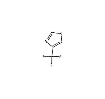 FC(F)(F)c1cscn1